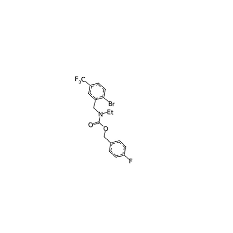 CCN(Cc1cc(C(F)(F)F)ccc1Br)C(=O)OCc1ccc(F)cc1